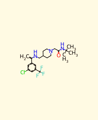 C=C(NCC1CCN(CC(=O)NC(C)(C)C)CC1)c1cc(Cl)cc(C(F)(F)F)c1